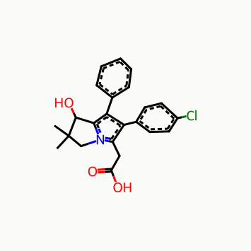 CC1(C)Cn2c(CC(=O)O)c(-c3ccc(Cl)cc3)c(-c3ccccc3)c2C1O